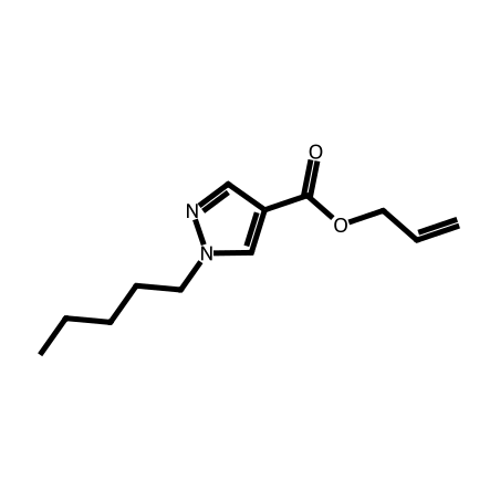 C=CCOC(=O)c1cnn(CCCCC)c1